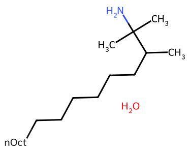 CCCCCCCCCCCCCCC(C)C(C)(C)N.O